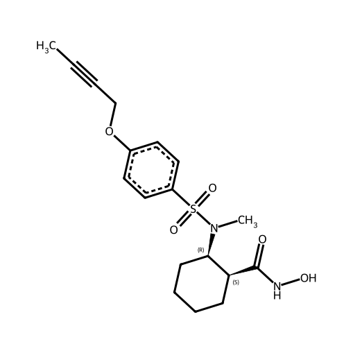 CC#CCOc1ccc(S(=O)(=O)N(C)[C@@H]2CCCC[C@@H]2C(=O)NO)cc1